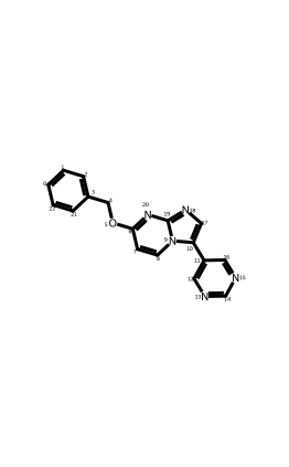 c1ccc(COc2ccn3c(-c4cncnc4)cnc3n2)cc1